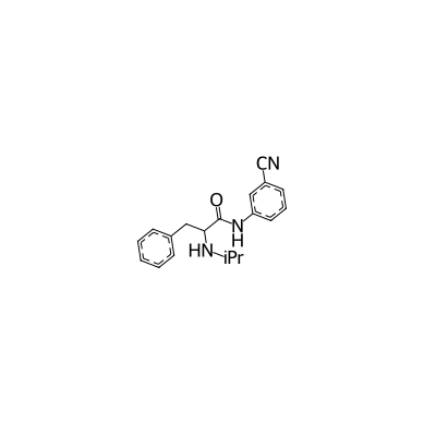 CC(C)NC(Cc1ccccc1)C(=O)Nc1cccc(C#N)c1